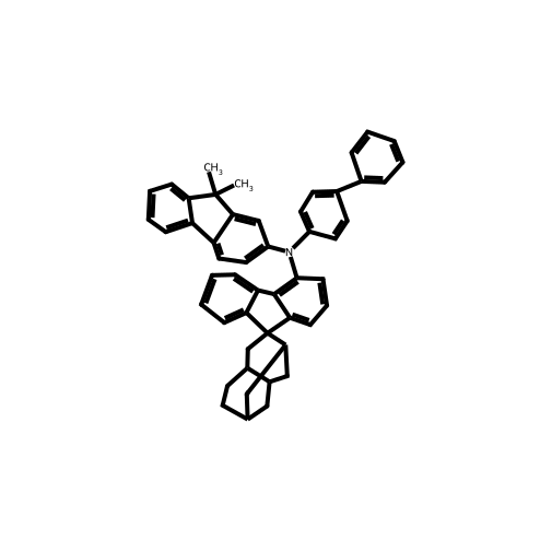 CC1(C)c2ccccc2-c2ccc(N(c3ccc(-c4ccccc4)cc3)c3cccc4c3-c3ccccc3C43CC4CCC5CC4CC3C5)cc21